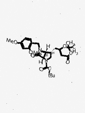 COc1ccc(CN2C(=O)[C@@H]3[C@H]2[C@H](CC2CC(=O)OC(C)(C)O2)CN3C(=O)OC(C)(C)C)c(OC)c1